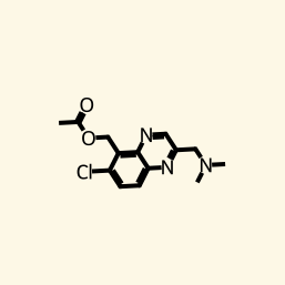 CC(=O)OCc1c(Cl)ccc2nc(CN(C)C)cnc12